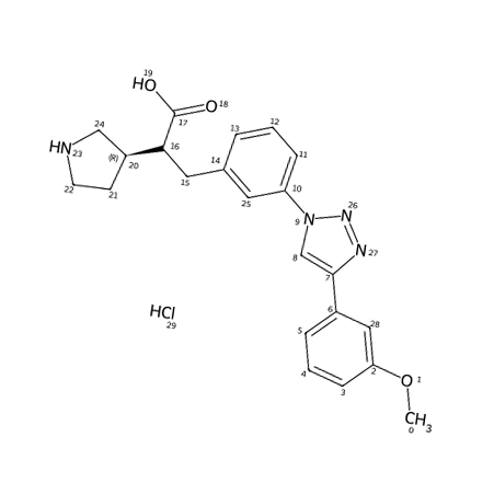 COc1cccc(-c2cn(-c3cccc(CC(C(=O)O)[C@H]4CCNC4)c3)nn2)c1.Cl